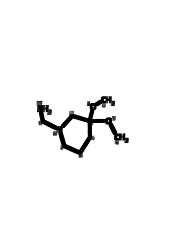 COC1(OC)CCCN(CN)C1